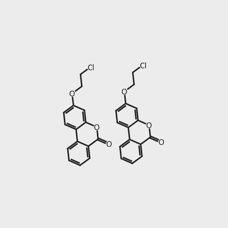 O=c1oc2cc(OCCCl)ccc2c2ccccc12.O=c1oc2cc(OCCCl)ccc2c2ccccc12